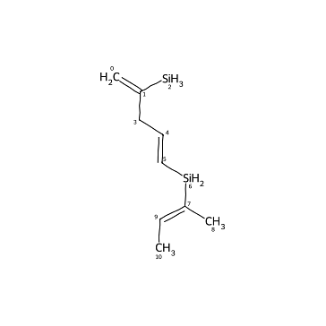 C=C([SiH3])CC=C[SiH2]C(C)=CC